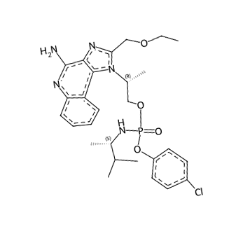 CCOCc1nc2c(N)nc3ccccc3c2n1[C@H](C)COP(=O)(N[C@@H](C)C(C)C)Oc1ccc(Cl)cc1